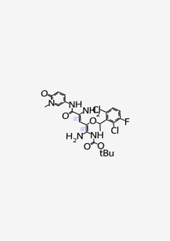 CC(OC(/C=C(\N)C(=O)Nc1ccc(=O)n(C)c1)=C(/N)NC(=O)OC(C)(C)C)c1c(Cl)ccc(F)c1Cl